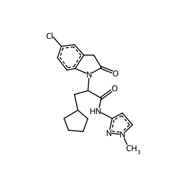 Cn1ccc(NC(=O)C(CC2CCCC2)N2C(=O)Cc3cc(Cl)ccc32)n1